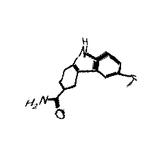 NC(=O)C1CCc2[nH]c3ccc(F)cc3c2C1